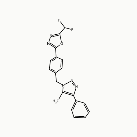 Cc1c(-c2ccccc2)nnn1Cc1ccc(-c2nnc(C(F)F)o2)cc1